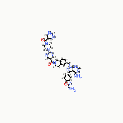 Nc1nc2cc(-c3nn(Cc4ccc5c(c4)CCN(C(=O)c4cnc(N6CCN(C(=O)c7cncnc7)CC6)nc4)C5)c4ncnc(N)c34)ccc2o1